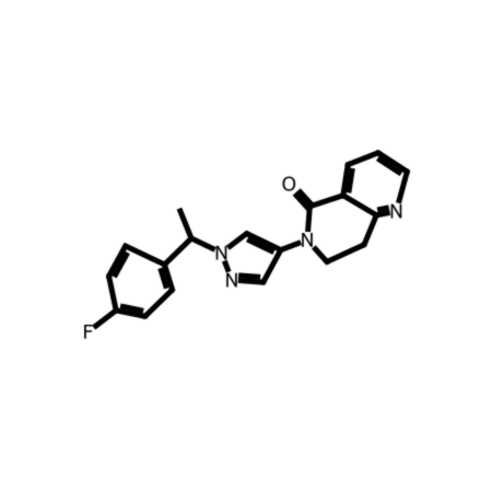 CC(c1ccc(F)cc1)n1cc(N2CCc3ncccc3C2=O)cn1